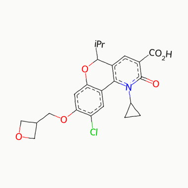 CC(C)C1Oc2cc(OCC3COC3)c(Cl)cc2-c2c1cc(C(=O)O)c(=O)n2C1CC1